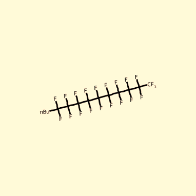 [CH2]CCCC(F)(F)C(F)(F)C(F)(F)C(F)(F)C(F)(F)C(F)(F)C(F)(F)C(F)(F)C(F)(F)C(F)(F)F